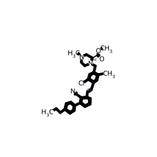 CCCc1ccc(-c2cccc(/C=C/c3cc(C)c(CN4CCN(C)C[C@H]4C(=O)OC)cc3Cl)c2C#N)cc1